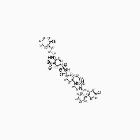 O=C(NS(=O)(=O)c1ccc(NCCCN2CCCCCC2=O)c([N+](=O)[O-])c1)c1ccc2c(c1)CC[C@H]1CN(Cc3ccccc3-c3ccc(Cl)cc3)CCN21